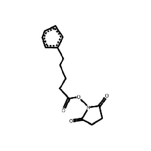 O=C(CCCCc1ccccc1)ON1C(=O)CCC1=O